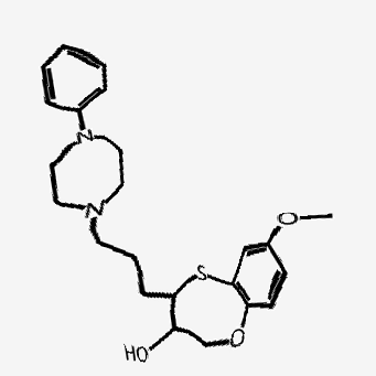 COc1ccc2c(c1)SC(CCCN1CCN(c3ccccc3)CC1)C(O)CO2